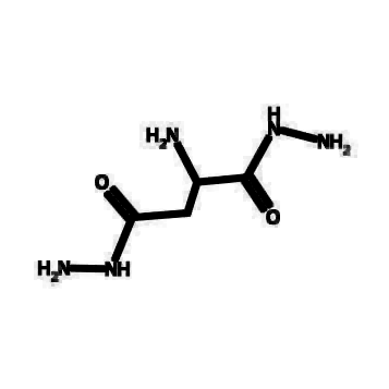 NNC(=O)CC(N)C(=O)NN